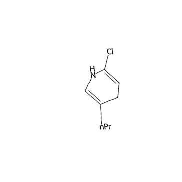 CCCC1=CNC(Cl)=CC1